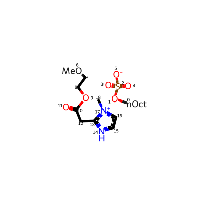 CCCCCCCCOS(=O)(=O)[O-].COCCOC(=O)Cc1[nH]cc[n+]1C